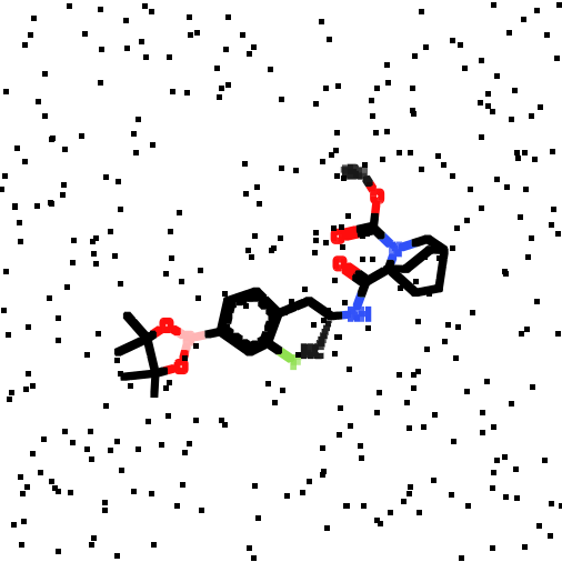 CC(C)(C)OC(=O)N1CC2CCC1(C(=O)N[C@H](C#N)Cc1ccc(B3OC(C)(C)C(C)(C)O3)cc1F)CC2